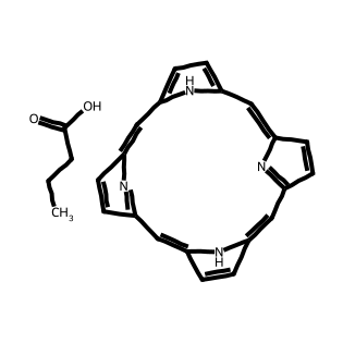 C1=Cc2cc3ccc(cc4nc(cc5ccc(cc1n2)[nH]5)C=C4)[nH]3.CCCC(=O)O